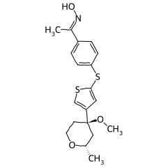 CO[C@]1(c2csc(Sc3ccc(/C(C)=N/O)cc3)c2)CCO[C@@H](C)C1